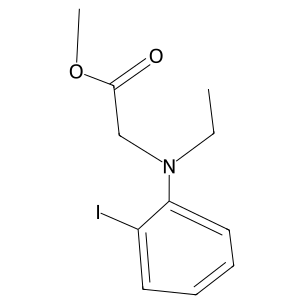 CCN(CC(=O)OC)c1ccccc1I